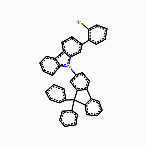 Brc1ccccc1-c1ccc2c3ccccc3n(-c3ccc4c(c3)C(c3ccccc3)(c3ccccc3)c3ccccc3-4)c2c1